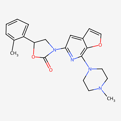 Cc1ccccc1C1CN(c2cc3ccoc3c(N3CCN(C)CC3)n2)C(=O)O1